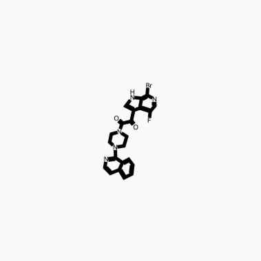 O=C(C(=O)N1CCN(c2nccc3ccccc23)CC1)c1c[nH]c2c(Br)ncc(F)c12